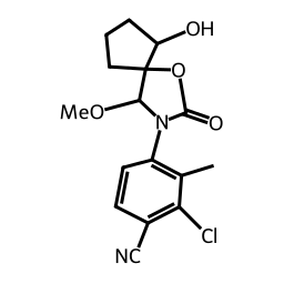 COC1N(c2ccc(C#N)c(Cl)c2C)C(=O)OC12CCCC2O